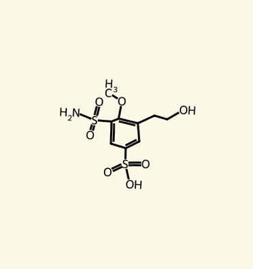 COc1c(CCO)cc(S(=O)(=O)O)cc1S(N)(=O)=O